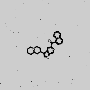 O=C(c1ccc2occ(C3CCN4CCCCC4C3)c2c1)c1cccc2ccccc12